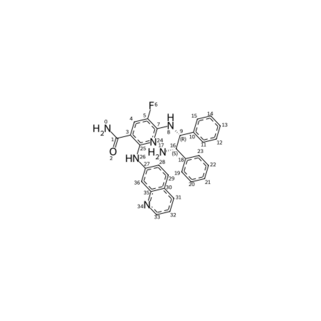 NC(=O)c1cc(F)c(N[C@H](c2ccccc2)[C@@H](N)c2ccccc2)nc1Nc1ccc2cccnc2c1